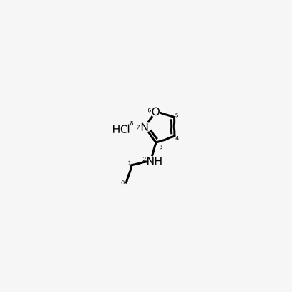 CCNc1ccon1.Cl